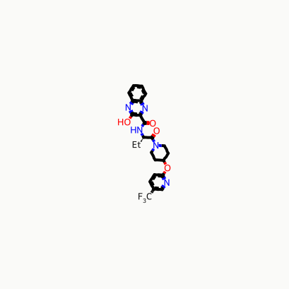 CC[C@H](NC(=O)c1nc2ccccc2nc1O)C(=O)N1CCC(Oc2ccc(C(F)(F)F)cn2)CC1